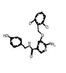 Nc1ncc(C(=O)NCc2ccc(O)cc2)cc1OCc1c(Cl)cccc1Cl